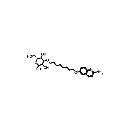 Nc1ccc2cc(OCCCCCCCCO[C@H]3[C@H](O)[C@@H](CO)OC(O)[C@@H]3O)ccc2n1